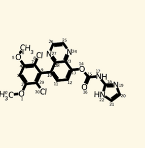 COc1cc(OC)c(Cl)c(-c2ccc(OC(=O)Nc3ncc[nH]3)c3nccnc23)c1Cl